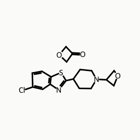 Clc1ccc2sc(C3CCN(C4COC4)CC3)nc2c1.O=C1COC1